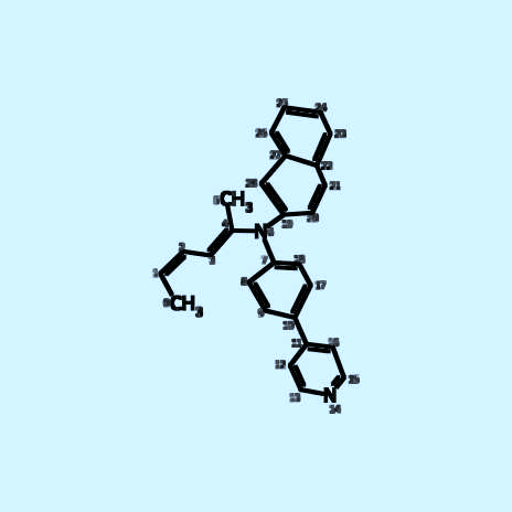 C/C=C\C=C(/C)N(c1ccc(-c2ccncc2)cc1)c1ccc2ccccc2c1